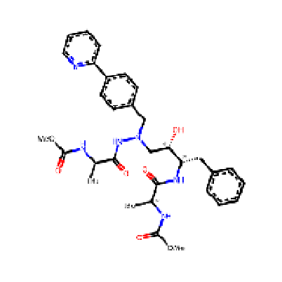 COC(=O)NC(C(=O)NN(Cc1ccc(-c2ccccn2)cc1)C[C@H](O)[C@H](Cc1ccccc1)NC(=O)[C@@H](NC(=O)OC)C(C)(C)C)C(C)(C)C